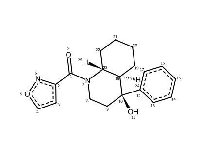 O=C(c1ccon1)N1CC[C@@](O)(c2ccccc2)[C@@H]2CCCC[C@H]21